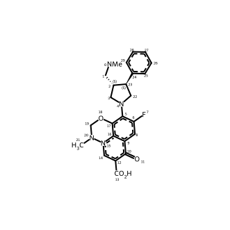 CNC[C@H]1CN(c2c(F)cc3c(=O)c(C(=O)O)cn4c3c2OCN4C)C[C@@H]1c1ccccc1